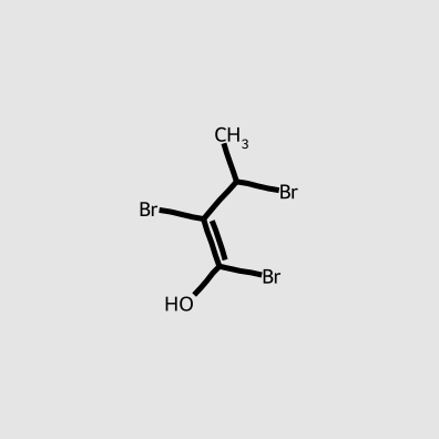 CC(Br)C(Br)=C(O)Br